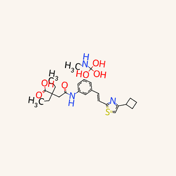 CCC(CC)(CC(=O)Nc1cccc(C=Cc2nc(C3CCC3)cs2)c1)C(=O)O.CNC(O)(O)O